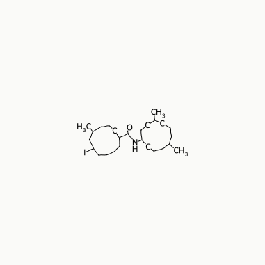 CC1CCCC(C)CCC(NC(=O)C2CCCCC(I)CC(C)CCC2)CCC1